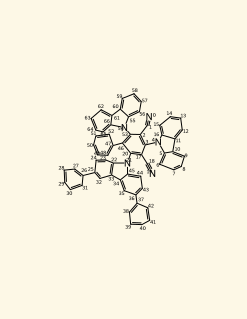 N#Cc1c(-n2c3ccccc3c3ccccc32)c(C#N)c(-n2c3ccc(-c4ccccc4)cc3c3cc(-c4ccccc4)ccc32)c(-c2ccccc2)c1-n1c2ccccc2c2ccccc21